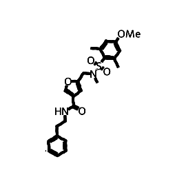 COc1cc(C)c(S(=O)(=O)N(C)Cc2cc(C(=O)NCCc3c[c]ccc3)co2)c(C)c1